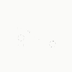 CC(C(O)c1ccc(O)cc1)N1CCC(O)(CCCCc2ccccc2)CC1